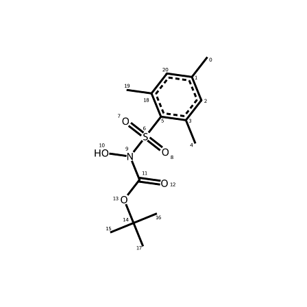 Cc1cc(C)c(S(=O)(=O)N(O)C(=O)OC(C)(C)C)c(C)c1